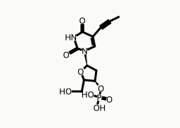 CC#Cc1cn([C@H]2C[C@@H](OP(=O)(O)O)C(CO)O2)c(=O)[nH]c1=O